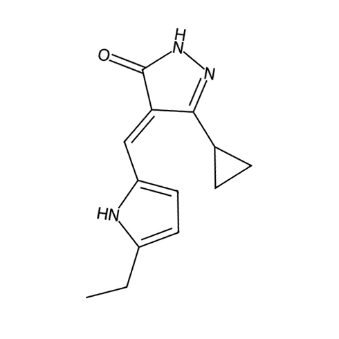 CCc1ccc(C=C2C(=O)NN=C2C2CC2)[nH]1